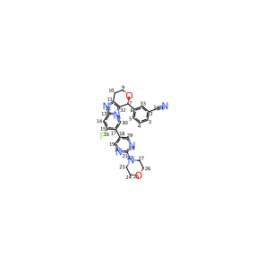 N#Cc1cccc(C2OCCc3nc4cc(F)c(-c5cnc(N6CCOCC6)nc5)cn4c32)c1